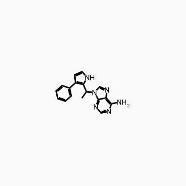 CC(c1[nH]ccc1-c1ccccc1)n1cnc2c(N)ncnc21